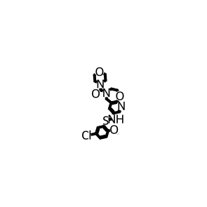 COc1ccc(Cl)cc1SNc1cnc2c(c1)CN(C(=O)N1CCOCC1)CCO2